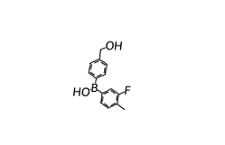 Cc1ccc(B(O)c2ccc(CO)cc2)cc1F